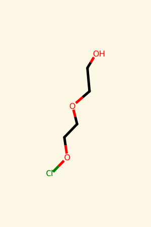 OCCOCCOCl